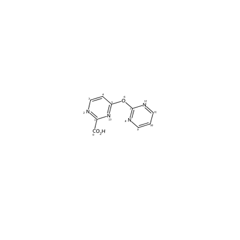 O=C(O)c1nccc(Oc2ncccn2)n1